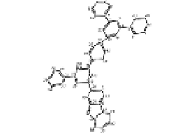 c1ccc(-c2cc(-c3ccccc3)cc(-c3ccc(-c4nc(-c5ccccc5)cc(-c5ccc6c(c5)oc5ccccc56)n4)cc3)c2)cc1